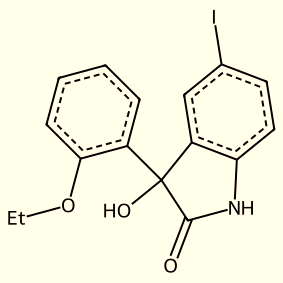 CCOc1ccccc1C1(O)C(=O)Nc2ccc(I)cc21